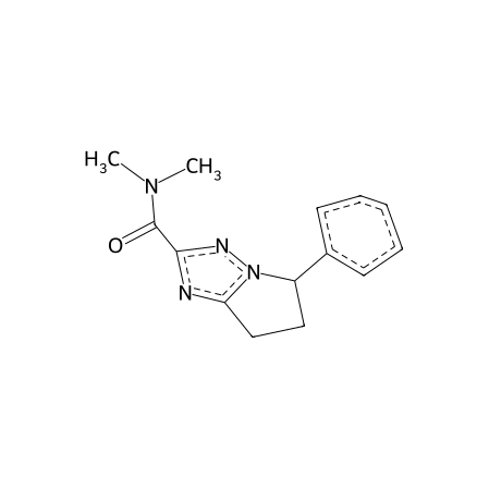 CN(C)C(=O)c1nc2n(n1)C(c1ccccc1)CC2